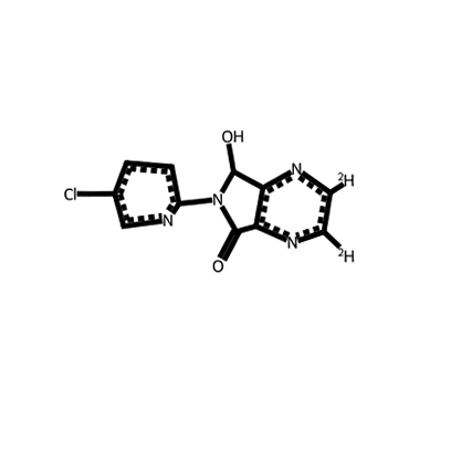 [2H]c1nc2c(nc1[2H])C(O)N(c1ccc(Cl)cn1)C2=O